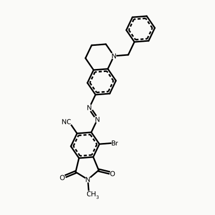 CN1C(=O)c2cc(C#N)c(/N=N/c3ccc4c(c3)CCCN4Cc3ccccc3)c(Br)c2C1=O